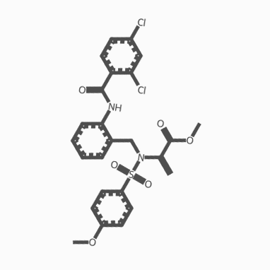 C=C(C(=O)OC)N(Cc1ccccc1NC(=O)c1ccc(Cl)cc1Cl)S(=O)(=O)c1ccc(OC)cc1